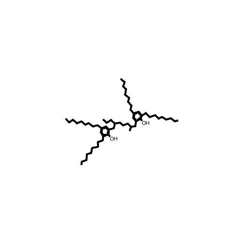 CCCCCCCCCc1cc(CCCCCCCCC)c(O)c(CC(C)C[CH]CC(CCC)Cc2cc(CCCCCCCCC)cc(CCCCCCCCC)c2O)c1